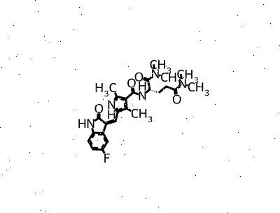 Cc1[nH]c(/C=C2\C(=O)Nc3ccc(F)cc32)c(C)c1C(=O)N[C@@H](CCC(=O)N(C)C)C(=O)N(C)C